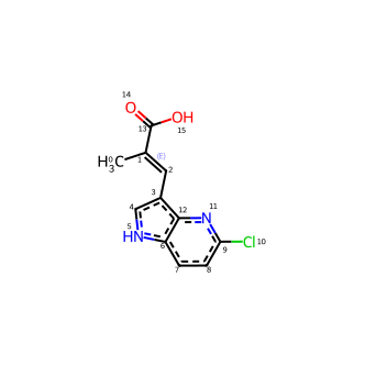 C/C(=C\c1c[nH]c2ccc(Cl)nc12)C(=O)O